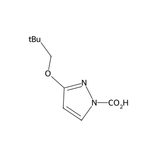 CC(C)(C)COc1ccn(C(=O)O)n1